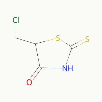 O=C1NC(=S)SC1CCl